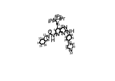 CC(C)[Si](C#Cc1cc(NC(=O)N2Cc3ccccc3C2)nc2nc(Nc3ccc(N4CCN(C)CC4)cc3)ncc12)(C(C)C)C(C)C